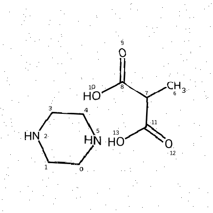 C1CNCCN1.CC(C(=O)O)C(=O)O